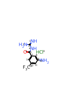 Cl.N=C(N)NC(=O)c1cc(N)cc(C(F)(F)F)c1